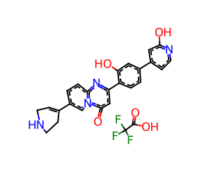 O=C(O)C(F)(F)F.O=c1cc(-c2ccc(-c3ccnc(O)c3)cc2O)nc2ccc(C3=CCNCC3)cn12